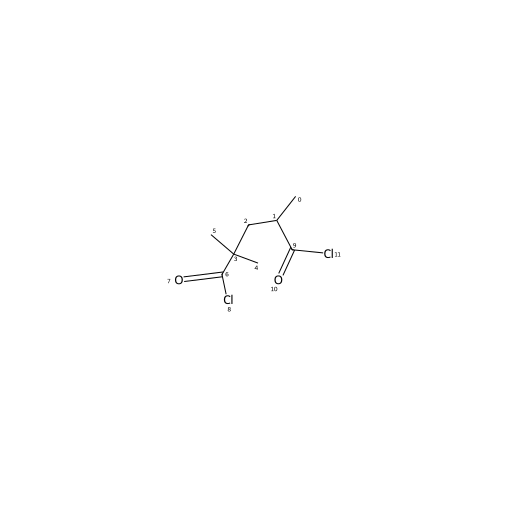 CC(CC(C)(C)C(=O)Cl)C(=O)Cl